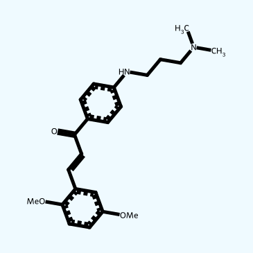 COc1ccc(OC)c(C=CC(=O)c2ccc(NCCCN(C)C)cc2)c1